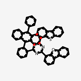 c1ccc(-c2c3ccccc3c(-c3ccccc3-c3nc(-c4cccc5c4oc4ccccc45)nc(-c4cccc5c4sc4ccccc45)n3)c3ccccc23)cc1